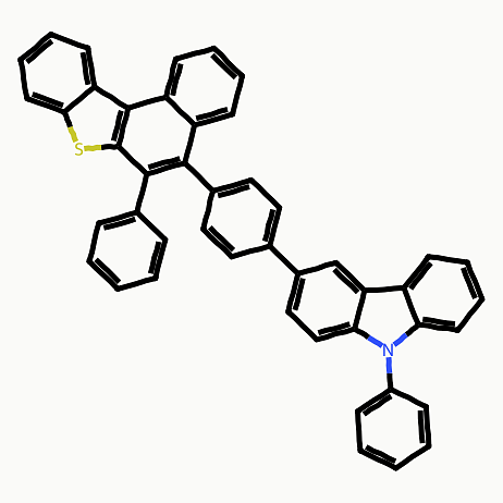 c1ccc(-c2c(-c3ccc(-c4ccc5c(c4)c4ccccc4n5-c4ccccc4)cc3)c3ccccc3c3c2sc2ccccc23)cc1